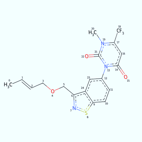 CC=CCOCc1nsc2ccc(-n3c(=O)cc(C(F)(F)F)n(C)c3=O)cc12